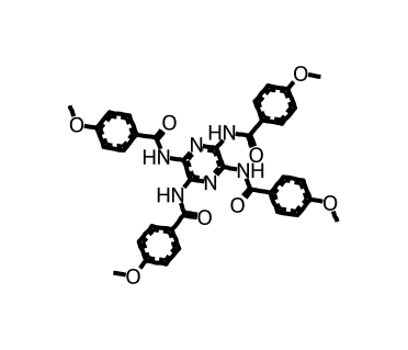 COc1ccc(C(=O)Nc2nc(NC(=O)c3ccc(OC)cc3)c(NC(=O)c3ccc(OC)cc3)nc2NC(=O)c2ccc(OC)cc2)cc1